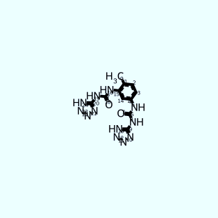 Cc1ccc(NC(=O)Nc2nnn[nH]2)cc1NC(=O)Nc1nnn[nH]1